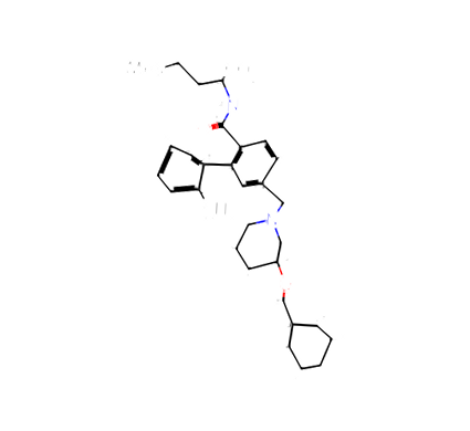 CSCCC(NC(=O)c1ccc(CN2CCCC(OCC3CCCCC3)C2)cc1-c1ccccc1C)C(=O)O